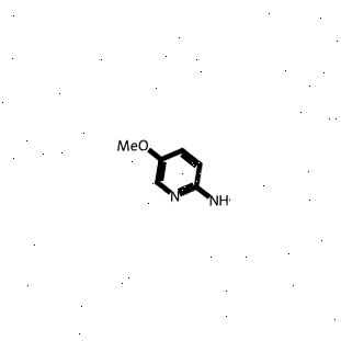 COc1ccc([NH])nc1